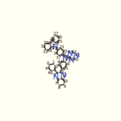 c1ccc(-c2nc3ccccc3nc2-c2ccc(N(c3ccc(-n4c5ccccc5c5ccccc54)cc3)c3ncncn3)cc2)cc1